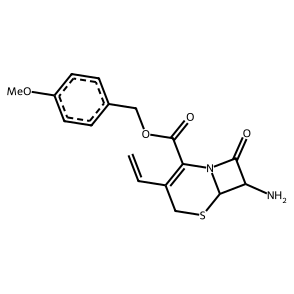 C=CC1=C(C(=O)OCc2ccc(OC)cc2)N2C(=O)C(N)C2SC1